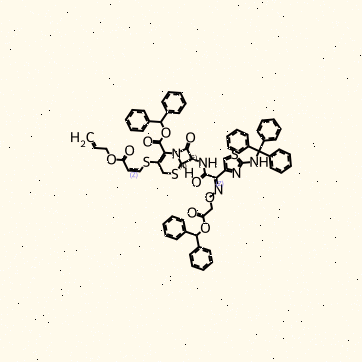 C=CCOC(=O)/C=C\SC1=C(C(=O)OC(c2ccccc2)c2ccccc2)N2C(=O)[C@@H](NC(=O)/C(=N\OCC(=O)OC(c3ccccc3)c3ccccc3)c3csc(NC(c4ccccc4)(c4ccccc4)c4ccccc4)n3)[C@H]2SC1